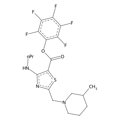 CCCNc1nc(CN2CCCC(C)C2)sc1C(=O)Oc1c(F)c(F)c(F)c(F)c1F